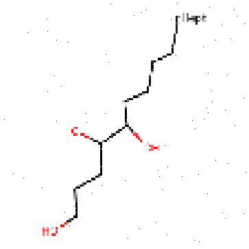 CCCCCCCCCCCC(O)C(O)CCCO